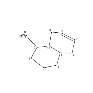 [CH2]CCC1CCCC2CC=CCC21